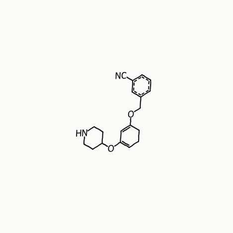 N#Cc1cccc(COC2=CC(OC3CCNCC3)=CCC2)c1